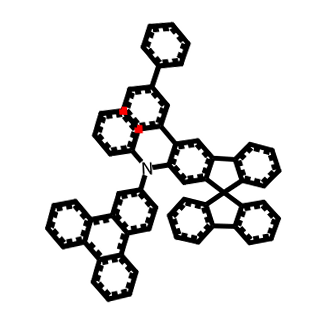 c1ccc(-c2cccc(-c3cc4c(cc3N(c3ccccc3)c3ccc5c6ccccc6c6ccccc6c5c3)C3(c5ccccc5-c5ccccc53)c3ccccc3-4)c2)cc1